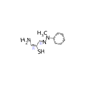 CN(/N=C/C(S)=C\N)c1ccccc1